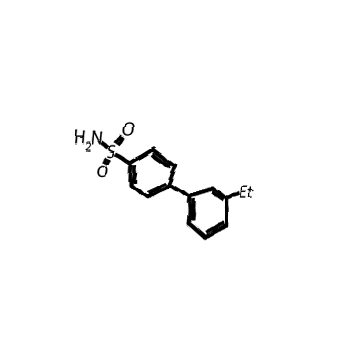 CCc1cccc(-c2ccc(S(N)(=O)=O)cc2)c1